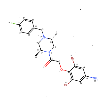 C[C@@H]1CN(C(=O)COc2c(Br)cc(N)cc2Br)[C@@H](C)CN1Cc1ccc(F)cc1